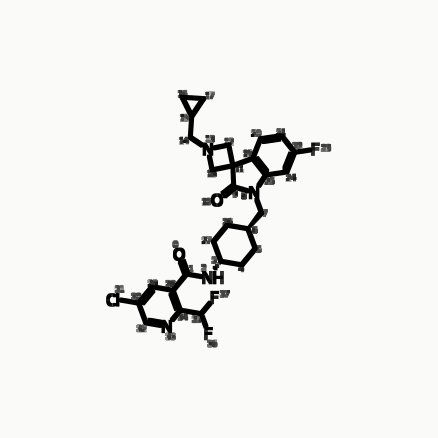 O=C(N[C@H]1CC[C@H](CN2C(=O)C3(CN(CC4CC4)C3)c3ccc(F)cc32)CC1)c1cc(Cl)cnc1C(F)F